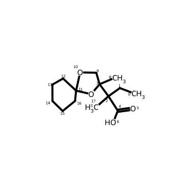 CCC(C)(C(=O)O)C1(C)COC2(CCCCC2)O1